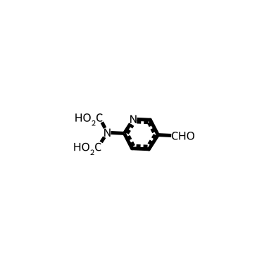 O=Cc1ccc(N(C(=O)O)C(=O)O)nc1